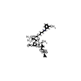 C=C[C@@H]1C[C@]1(NC(=O)[C@@H]1C[C@@H](OC=O)CN1C(=O)[C@@H](NC(=O)OCCC/C=C/c1cccc(C)c1)C(C)C)C(=O)NS(=O)(=O)C1CC1